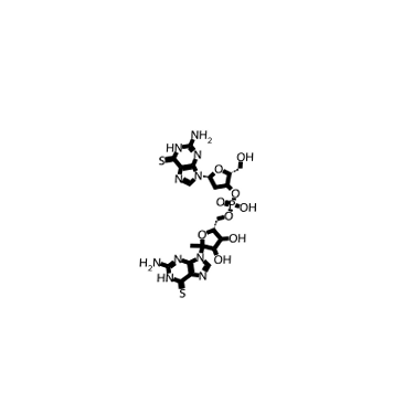 CC1(n2cnc3c(=S)[nH]c(N)nc32)O[C@H](COP(=O)(O)OC2C[C@H](n3cnc4c(=S)[nH]c(N)nc43)O[C@@H]2CO)C(O)C1O